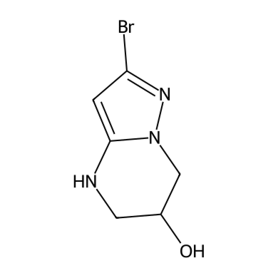 OC1CNc2cc(Br)nn2C1